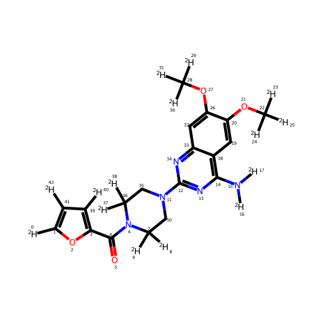 [2H]c1oc(C(=O)N2C([2H])([2H])CN(c3nc(N([2H])[2H])c4cc(OC([2H])([2H])[2H])c(OC([2H])([2H])[2H])cc4n3)CC2([2H])[2H])c([2H])c1[2H]